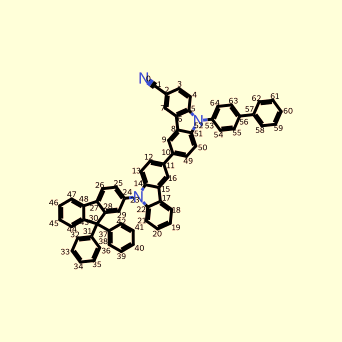 N#Cc1ccc2c(c1)c1cc(-c3ccc4c(c3)c3ccccc3n4-c3ccc4c(c3)C(c3ccccc3)(c3ccccc3)c3ccccc3-4)ccc1n2-c1ccc(-c2ccccc2)cc1